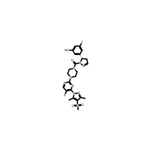 Cc1nn(-c2nc(N3CCN(C(=O)N4N=CC[C@H]4c4cc(F)cc(C#N)c4)CC3)ncc2F)c(C)c1S(C)(=O)=O